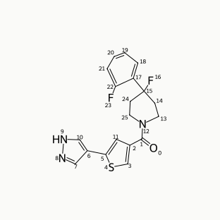 O=C(c1csc(-c2cn[nH]c2)c1)N1CCC(F)(c2ccccc2F)CC1